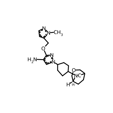 Cn1nccc1COc1nn(C2CCC(N3CC4CC[C@@H]3COC4)CC2)cc1N